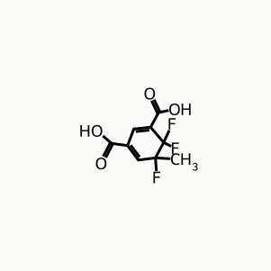 CC1(F)C=C(C(=O)O)C=C(C(=O)O)C1(F)F